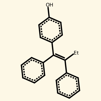 CCC(=C(c1ccccc1)c1ccc(O)cc1)c1ccccc1